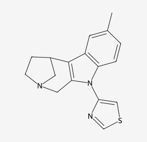 Cc1ccc2c(c1)c1c(n2-c2cscn2)CN2CCC1C2